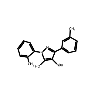 CCCCc1c(-c2cccc(C)c2)nn(-c2ccccc2C)c1O